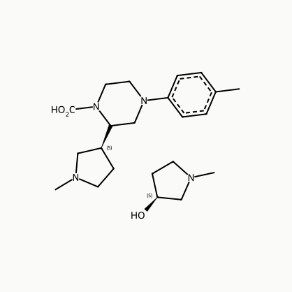 CN1CC[C@H](O)C1.Cc1ccc(N2CCN(C(=O)O)C([C@H]3CCN(C)C3)C2)cc1